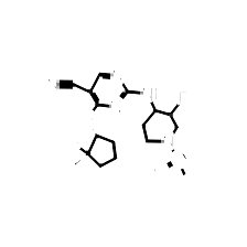 C[C@]1(O)CCC[C@H]1Oc1nc(NC2CCN(S(C)(=O)=O)CC2F)ncc1C#N